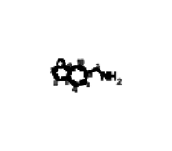 NCc1ccc2ccoc2c1